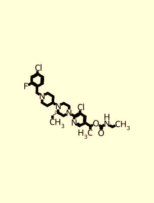 CCNC(=O)OC(C)c1cnc(N2CCN(C3CCN(Cc4ccc(Cl)cc4F)CC3)[C@@H](CC)C2)c(Cl)c1